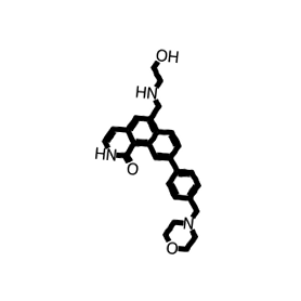 O=c1[nH]ccc2cc(CNCCO)c3ccc(-c4ccc(CN5CCOCC5)cc4)cc3c12